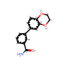 NC(=O)c1cccc(-c2ccc3c(c2)OCCO3)c1